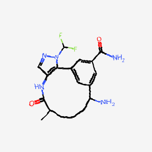 CC1CCCC(N)c2cc(C(N)=O)cc(c2)-c2c(cnn2C(F)F)NC1=O